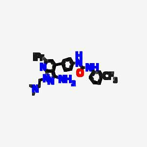 CC(C)c1cc(-c2ccc(NC(=O)Nc3cccc(C(F)(F)F)c3)cc2)c2c(N)nn(CCN(C)C)c2n1